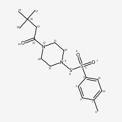 Cc1ccc(S(=O)(=O)SN2CCN(C(=O)CC(C)(C)C)CC2)cc1